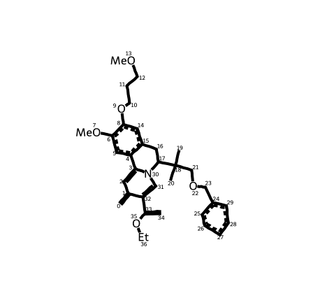 C=C1C=C2c3cc(OC)c(OCCCOC)cc3CC(C(C)(C)COCc3ccccc3)N2C=C1C(=C)OCC